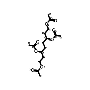 CC(=O)OCCC(CCC(CCOC(C)=O)OC(C)=O)OC(C)=O